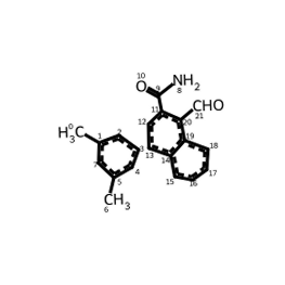 Cc1cccc(C)c1.NC(=O)c1ccc2ccccc2c1C=O